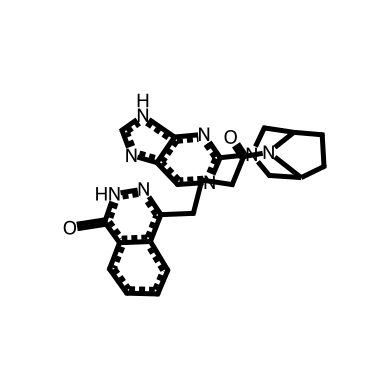 O=C(CCCc1n[nH]c(=O)c2ccccc12)N1C2CCC1CN(c1ncc3nc[nH]c3n1)C2